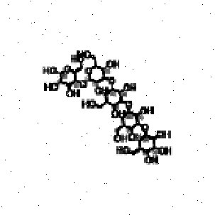 OCC1C[C@@H](OC2[C@@H](O)C(CO)O[C@@H](O[C@@H]3C(CO)O[C@@H](O)[C@@H](O)C3O)[C@H]2O)[C@@H](O)C(O[C@@H]2CC(CO)[C@H](O)C(O[C@@H]3CC(CO)[C@H](O)[C@H](O)C3O)[C@@H]2O)[C@H]1O